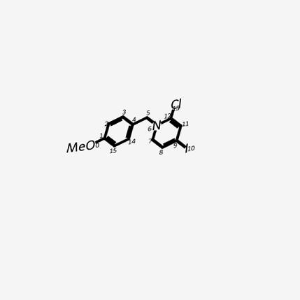 COc1ccc(CN2CC=C(I)C=C2Cl)cc1